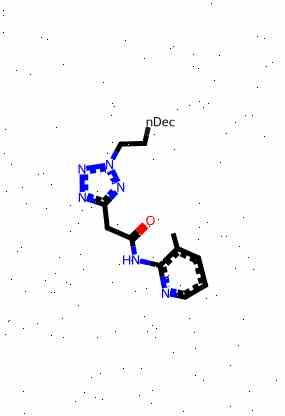 CCCCCCCCCCCCn1nnc(CC(=O)Nc2ncccc2C)n1